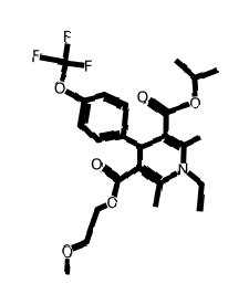 CCN1C(C)=C(C(=O)OCCOC)C(c2ccc(OC(F)(F)F)cc2)C(C(=O)OC(C)C)=C1C